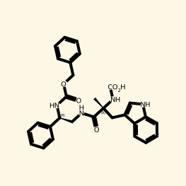 C[C@](Cc1c[nH]c2ccccc12)(NC(=O)O)C(=O)NC[C@H](NC(=O)OCc1ccccc1)c1ccccc1